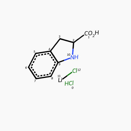 Cl.O=C(O)C1Cc2ccccc2N1.[Li][Cl]